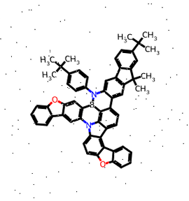 CC(C)(C)c1ccc(N2B3c4cc5oc6ccccc6c5cc4-n4c5ccc6oc7ccccc7c6c5c5ccc(c3c54)-c3cc4c(cc32)-c2ccc(C(C)(C)C)cc2C4(C)C)cc1